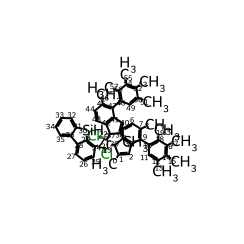 CC1=Cc2c(ccc(C)c2-c2cc(C)c(C)c(C)c2C)[CH]1[Zr]([Cl])([Cl])([c]1cccc2c1[SiH2]c1ccccc1-2)[CH]1C(C)=Cc2c1ccc(C)c2-c1cc(C)c(C)c(C)c1C